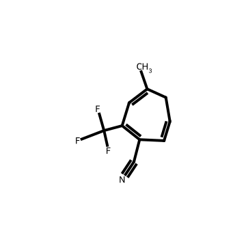 CC1=CC(C(F)(F)F)=C(C#N)C=CC1